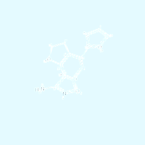 Nc1noc2cc(-c3ccco3)c3c(c12)OCC3